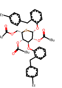 CCc1ccc(Cc2ccccc2O[C@@H]2[C@@H](OC(=O)C(C)(C)C)[C@@H](Oc3ccccc3Cc3ccc(CC)cc3)S[C@@H](COC(=O)C(C)(C)C)[C@H]2OC(=O)C(C)(C)C)cc1